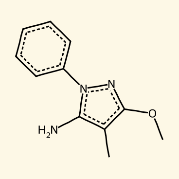 COc1nn(-c2ccccc2)c(N)c1C